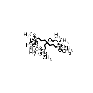 CCOC(CCC[Si](OC)(OC)OC)(CCC[Si](OC)(OC)OC)CC[Si](OC)(OC)OC